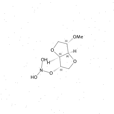 CO[C@H]1CO[C@H]2[C@@H]1OC[C@@H]2ON(O)O